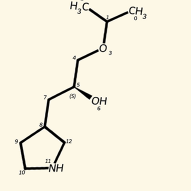 CC(C)OC[C@@H](O)CC1CCNC1